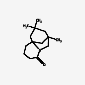 CC1(C)CC2(C)CN3C(=O)CCCC3(C1)C2